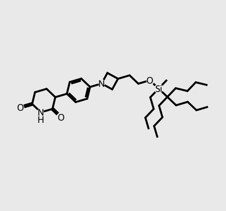 CCCCC(CCCC)(CCCC)[Si](C)(CCCC)OCCC1CN(c2ccc(C3CCC(=O)NC3=O)cc2)C1